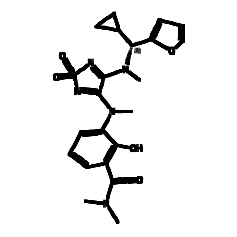 CN(C)C(=O)c1cccc(N(C)C2=NS(=O)(=O)N=C2N(C)[C@@H](c2ccco2)C2CC2)c1O